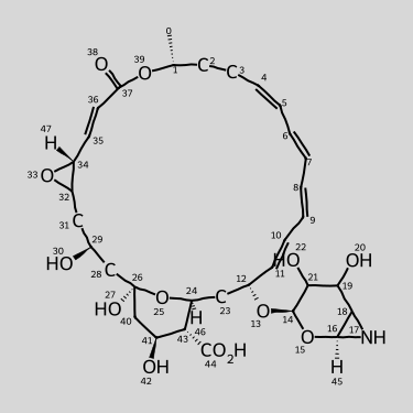 C[C@@H]1CC\C=C/C=C/C=C/C=C/[C@H](O[C@@H]2O[C@@H]3NC3C(O)C2O)C[C@@H]2O[C@](O)(C[C@@H](O)CC3O[C@@H]3/C=C/C(=O)O1)C[C@H](O)[C@H]2C(=O)O